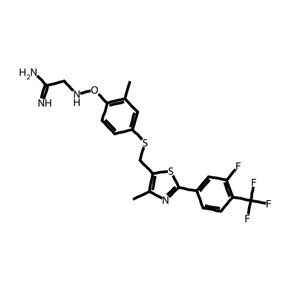 Cc1cc(SCc2sc(-c3ccc(C(F)(F)F)c(F)c3)nc2C)ccc1ONCC(=N)N